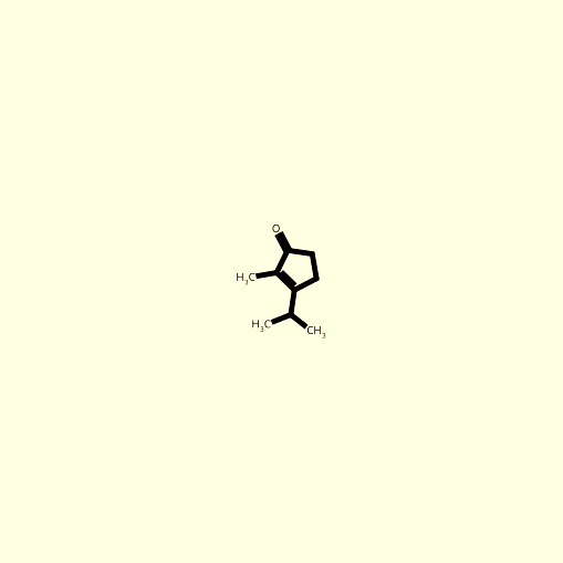 CC1=C(C(C)C)CCC1=O